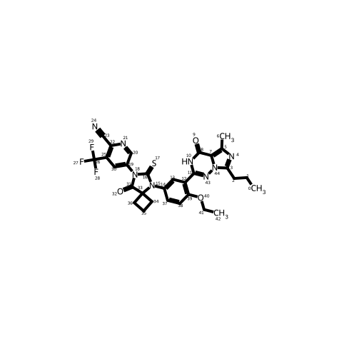 CCCc1nc(C)c2c(=O)[nH]c(-c3cc(N4C(=S)N(c5cnc(C#N)c(C(F)(F)F)c5)C(=O)C45CCC5)ccc3OCC)nn12